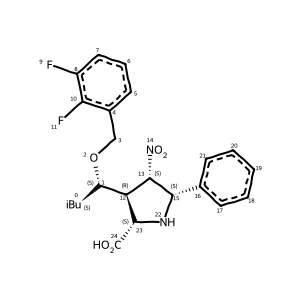 CC[C@H](C)[C@H](OCc1cccc(F)c1F)[C@H]1[C@H]([N+](=O)[O-])[C@H](c2ccccc2)N[C@@H]1C(=O)O